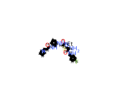 CCN1C(=O)[C@@H](CNc2cccc(NC(=O)CCN3CCCC3)c2)SC1[C@H](N)C(=O)NCc1ccc(F)cc1